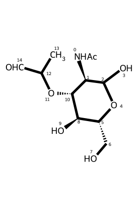 CC(=O)N[C@H]1C(O)O[C@H](CO)[C@@H](O)[C@@H]1OC(C)C=O